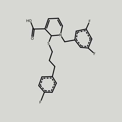 O=C(O)C1=CC=CN(Cc2cc(F)cc(F)c2)C1SCCCc1ccc(F)cc1